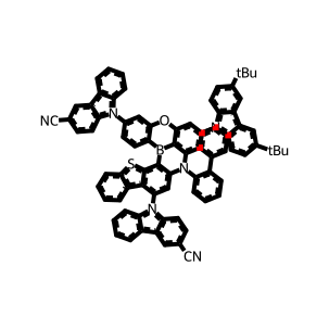 CC(C)(C)c1ccc2c(c1)c1cc(C(C)(C)C)ccc1n2-c1cc2c3c(c1)N(c1ccccc1-c1ccccc1)c1cc(-n4c5ccccc5c5cc(C#N)ccc54)c4c(sc5ccccc54)c1B3c1ccc(-n3c4ccccc4c4cc(C#N)ccc43)cc1O2